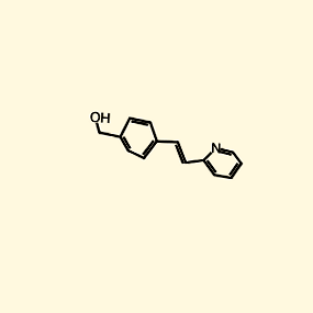 OCc1ccc(/C=C/c2ccccn2)cc1